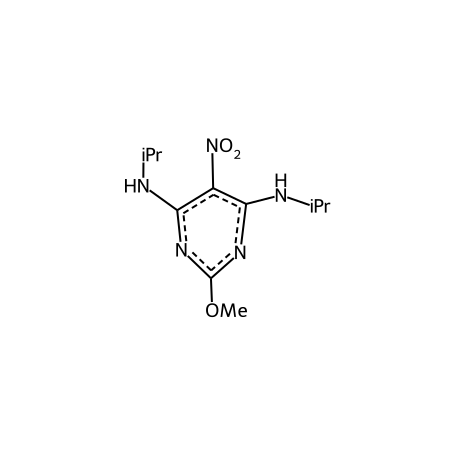 COc1nc(NC(C)C)c([N+](=O)[O-])c(NC(C)C)n1